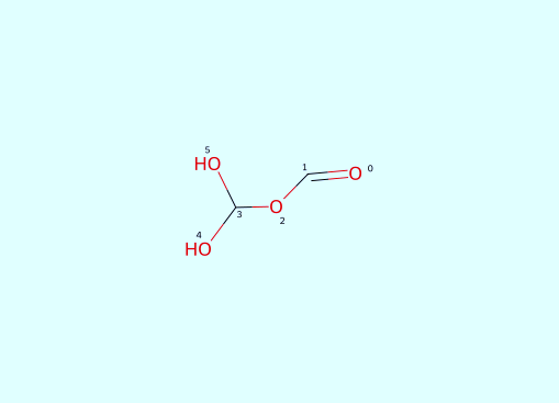 O=COC(O)O